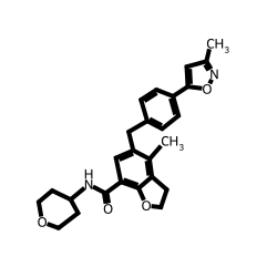 Cc1cc(-c2ccc(Cc3cc(C(=O)NC4CCOCC4)c4c(c3C)CCO4)cc2)on1